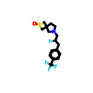 [O-][S+]1CC2(CCN(CC(F)Cc3ccc(C(F)(F)F)cc3)C2)C1